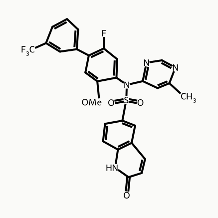 COc1cc(-c2cccc(C(F)(F)F)c2)c(F)cc1N(c1cc(C)ncn1)S(=O)(=O)c1ccc2[nH]c(=O)ccc2c1